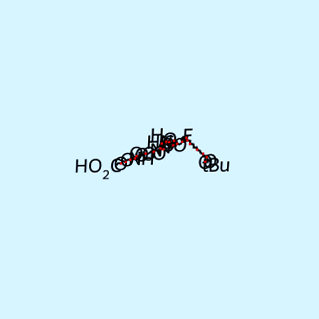 CC(C)(C)OC(=O)CCCCCCCCCCCc1cc(Oc2ccc(S(=O)(=O)Nc3ccc(C(=O)NCCOCCOCC(=O)NCCOCCOCC(=O)O)cn3)cc2)ccc1F